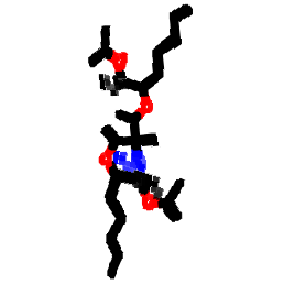 CCCCCC(OC(C)C(C)(N)C(C)OC(CCCCC)[SiH2]OC(C)C)[SiH2]OC(C)C